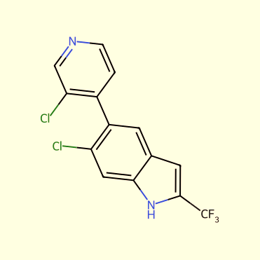 FC(F)(F)c1cc2cc(-c3ccncc3Cl)c(Cl)cc2[nH]1